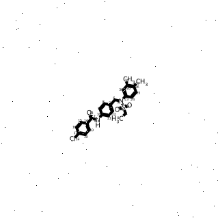 CCS(=O)(=O)N(Cc1ccc(NC(=O)c2ccc(Cl)cc2)cc1)c1ccc(C)c(C)c1